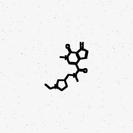 CCN1CCC(CN(C)C(=O)c2cn(C)c(=O)c3[nH]ccc23)C1